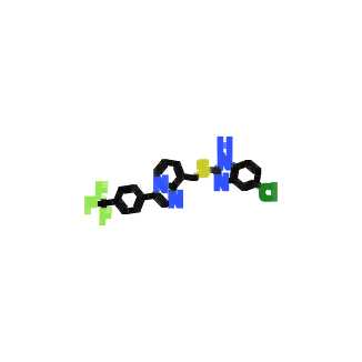 FC(F)(F)c1ccc(-c2cnc3c(CSc4nc5cc(Cl)ccc5[nH]4)cccn23)cc1